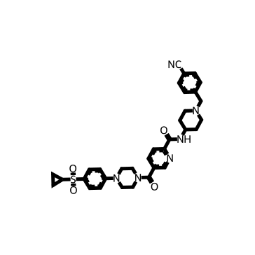 N#Cc1ccc(CN2CCC(NC(=O)c3ccc(C(=O)N4CCN(c5ccc(S(=O)(=O)C6CC6)cc5)CC4)cn3)CC2)cc1